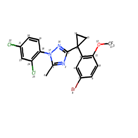 Cc1nc(C2(c3cc(Br)ccc3OC(F)(F)F)CC2)nn1-c1ccc(Cl)cc1Cl